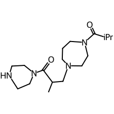 CC(C)C(=O)N1CCCN(CC(C)C(=O)N2CCNCC2)CC1